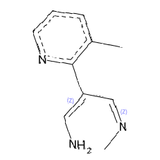 C/N=C\C(=C/N)c1ncccc1C